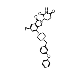 O=C1CCC(N2Cc3c(cc(F)cc3N3CCN(Cc4cccc(Oc5ccccc5)c4)CC3)C2=O)C(=O)N1